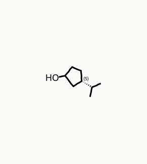 CC(C)[C@H]1CCC(O)C1